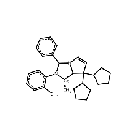 Cc1ccccc1N1C(c2ccccc2)N2C=CC(C3CCCC3)(C3CCCC3)C2[C@@H]1C